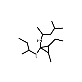 CCC(C)NC1(NC(C)CC(C)C)C(C)C1CC